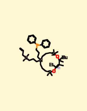 C=CC[Si](C)(C)CCC[Si]1(CCCP(c2ccccc2)c2ccccc2)CCC[Si](C)(C)O/C(CC)=C(\C)C(C)(C(C)CC)O[Si](C)(C)CCC1